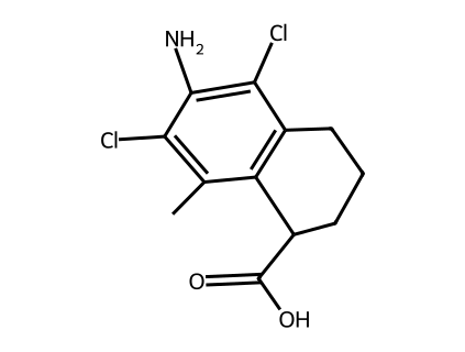 Cc1c(Cl)c(N)c(Cl)c2c1C(C(=O)O)CCC2